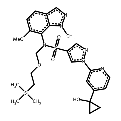 COc1ccc2cnn(C)c2c1N(COCC[Si](C)(C)C)S(=O)(=O)c1cnn(-c2cc(C3(O)CC3)ccn2)c1